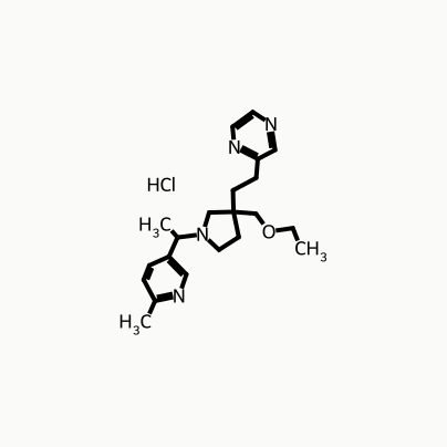 CCOCC1(CCc2cnccn2)CCN(C(C)c2ccc(C)nc2)C1.Cl